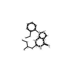 CCc1ccccc1-n1ncc2c(=O)[nH]c(CC(C)CC)nc21